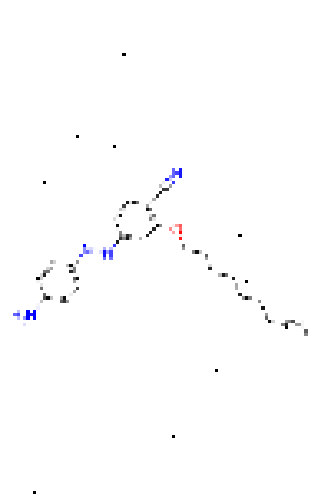 CCCCCCCCOc1cc(/N=N/c2ccc(N)cc2)ccc1C#N